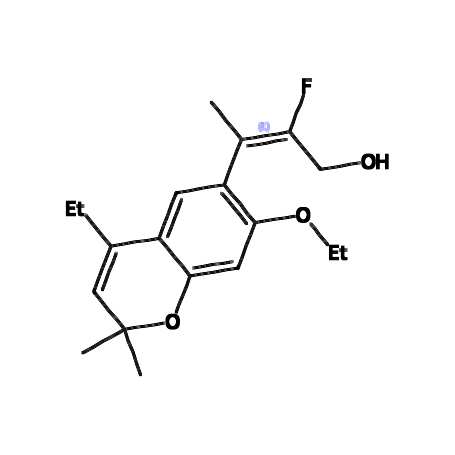 CCOc1cc2c(cc1/C(C)=C(/F)CO)C(CC)=CC(C)(C)O2